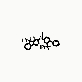 CC(C)C(C)(c1cc(Nc2ccc3c(c2)C(C(C)C)(C(C)C)c2ccccc2-3)ccc1-c1ccccc1)C(C)C